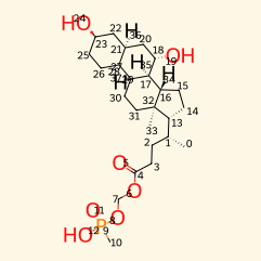 C[C@H](CCC(=O)OCOP(C)(=O)O)[C@H]1CC[C@H]2[C@@H]3[C@@H](O)C[C@@H]4C[C@H](O)CC[C@]4(C)[C@H]3CC[C@]12C